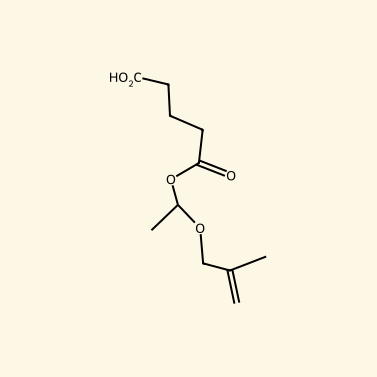 C=C(C)COC(C)OC(=O)CCCC(=O)O